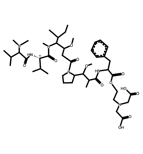 CCC(C)C(C(CC(=O)N1CCCC1C(OC)C(C)C(=O)NC(Cc1ccccc1)C(=O)OCCN(CC(=O)O)CC(=O)O)OC)N(C)C(=O)[C@@H](NC(=O)C(C(C)C)N(C)C)C(C)C